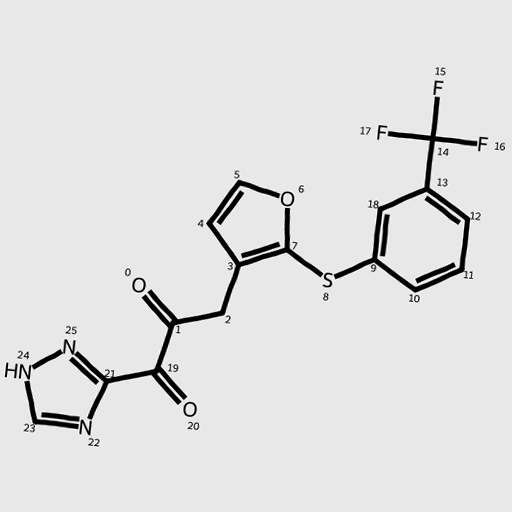 O=C(Cc1ccoc1Sc1cccc(C(F)(F)F)c1)C(=O)c1nc[nH]n1